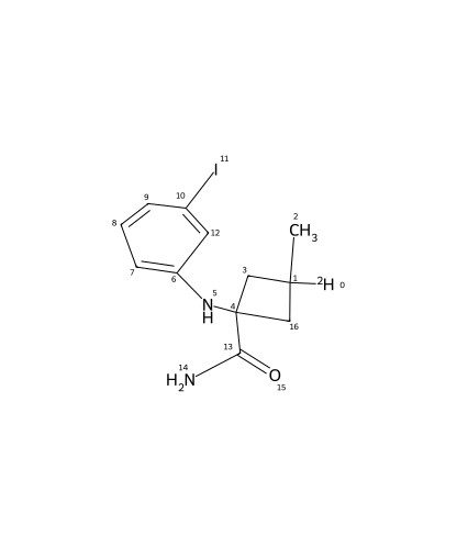 [2H]C1(C)CC(Nc2cccc(I)c2)(C(N)=O)C1